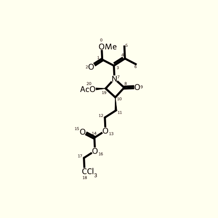 COC(=O)C(=C(C)C)N1C(=O)[C@@H](CCOC(=O)OCC(Cl)(Cl)Cl)[C@H]1OC(C)=O